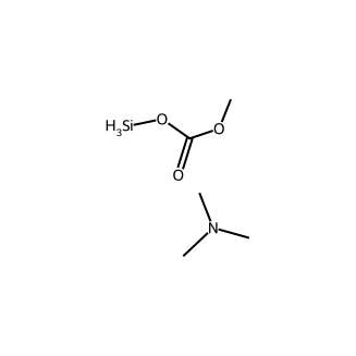 CN(C)C.COC(=O)O[SiH3]